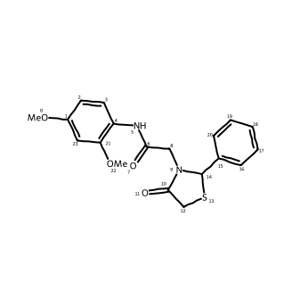 COc1ccc(NC(=O)CN2C(=O)CSC2c2ccccc2)c(OC)c1